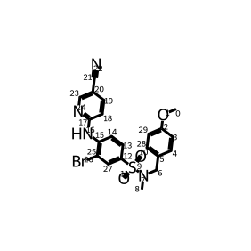 COc1ccc(CN(C)S(=O)(=O)c2ccc(Nc3ccc(C#N)cn3)c(Br)c2)cc1